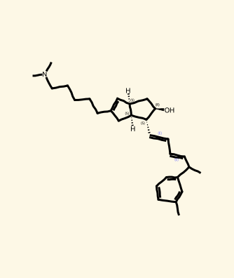 Cc1cccc(C(C)/C=C/C=C/[C@@H]2[C@H]3CC(CCCCCN(C)C)=C[C@H]3C[C@H]2O)c1